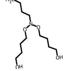 CCCCN(OCCCCO)OCCCCO